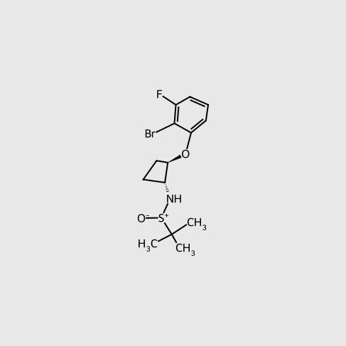 CC(C)(C)[S+]([O-])N[C@@H]1CC[C@H]1Oc1cccc(F)c1Br